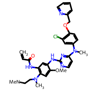 C=CC(=O)Nc1cc(Nc2nccc(N(C)c3ccc(OCc4ccccn4)c(Cl)c3)n2)c(OC)cc1N(C)CCNC